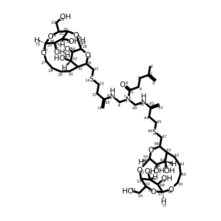 C=C(C)CCC(=O)N(CNC(=C)CCSCC1O[C@@H]2OC3C(CO)O[C@H](OCCCCC1[C@H](O)C2O)C(O)[C@H]3O)CNC(=C)CCSCC1O[C@@H]2OC3C(CO)O[C@H](OCCCCC1[C@H](O)C2O)C(O)[C@H]3O